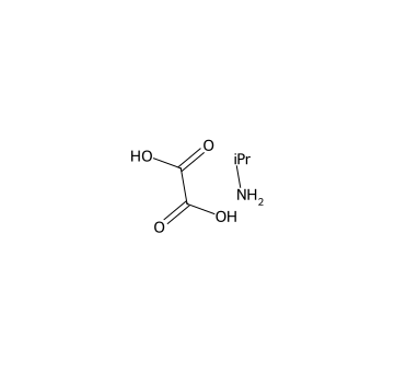 CC(C)N.O=C(O)C(=O)O